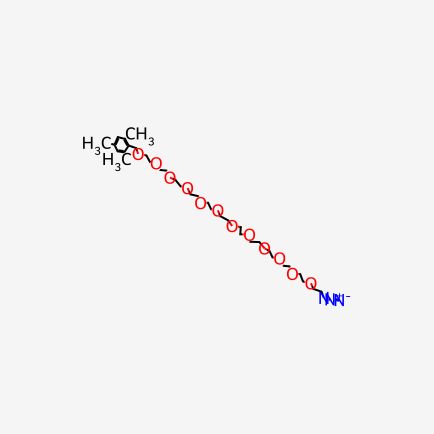 Cc1cc(C)c(COCCOCCOCCOCCOCCOCCOCCOCCOCCOCCOCCOCCN=[N+]=[N-])c(C)c1